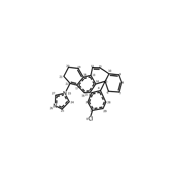 Clc1ccc(C23CC=CC=C2C=Cc2c3ccc3c2=CCCC=3n2ccnc2)cc1